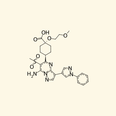 COCCO[C@]1(C(=O)O)CC[C@@H](c2nc3c(-c4cnn(-c5ccccc5)c4)cnn3c(N)c2S(C)(=O)=O)CC1